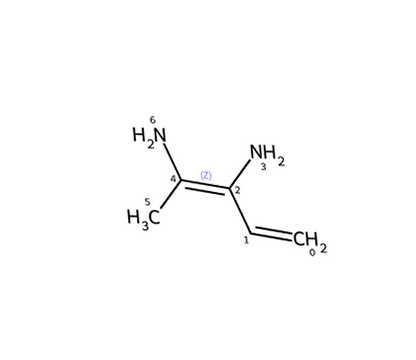 C=C/C(N)=C(\C)N